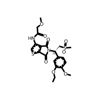 CCOc1cc([C@@H](CS(C)(=O)=O)N2C(=O)c3scc(NC(=O)COC)c3C2=O)ccc1OC